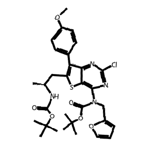 COc1ccc(-c2c(C[C@H](C)NC(=O)OC(C)(C)C)sc3c(N(Cc4ccco4)C(=O)OC(C)(C)C)nc(Cl)nc23)cc1